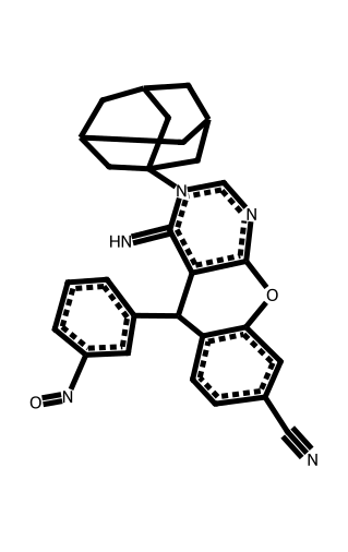 N#Cc1ccc2c(c1)Oc1ncn(C34CC5CC(CC(C5)C3)C4)c(=N)c1C2c1cccc(N=O)c1